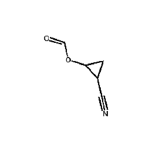 N#CC1CC1OC=O